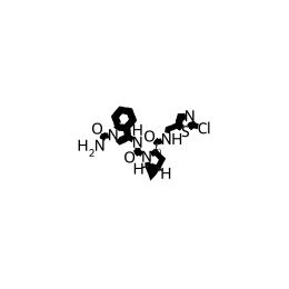 NC(=O)n1cc(NC(=O)N2[C@@H]3C[C@@H]3C[C@H]2C(=O)NCc2cnc(Cl)s2)c2ccccc21